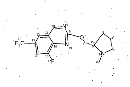 CN1CCC[C@H]1COc1ncc2cc(C(F)(F)F)cc(F)c2n1